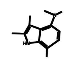 Cc1[nH]c2c(C)ccc(N(C)C)c2c1C